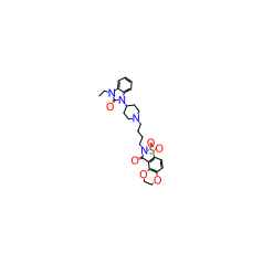 CCn1c(=O)n(C2CCN(CCCCN3C(=O)c4c(ccc5c4OCCO5)S3(=O)=O)CC2)c2ccccc21